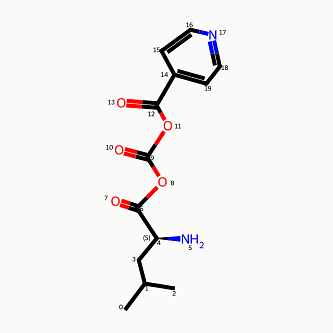 CC(C)C[C@H](N)C(=O)OC(=O)OC(=O)c1ccncc1